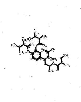 CCC(C)C(=O)OC(C)CC(c1ccc(OC(=O)C(C)C(C)C)c(OC(=O)C(C)C(C)C)c1)[C@H](N)C(=O)O